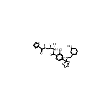 O=C(NC[C@H](NC(=O)c1ccc(C2(NCc3cccc(O)c3)N=NN=N2)cc1Cl)C(=O)O)c1cccs1